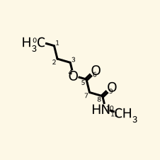 CCCCOC(=O)CC(=O)NC